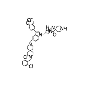 NC1(C(=O)NCCCn2cc(-c3ccc(OC(F)(F)F)cc3)c3cc(CN4CCC5(CC4)CCN(Cc4c(Cl)cccc4Cl)CC5)ccc32)CCNCC1